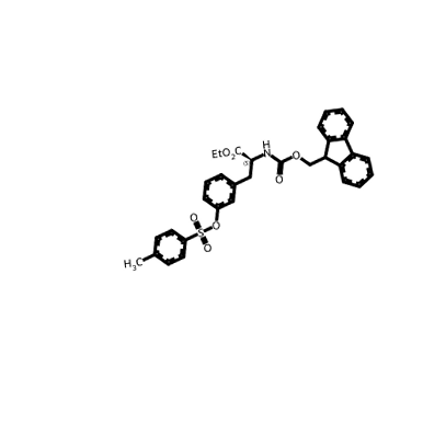 CCOC(=O)[C@H](Cc1cccc(OS(=O)(=O)c2ccc(C)cc2)c1)NC(=O)OCC1c2ccccc2-c2ccccc21